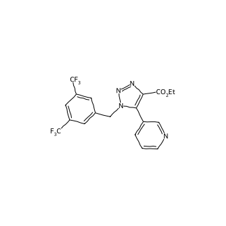 CCOC(=O)c1nnn(Cc2cc(C(F)(F)F)cc(C(F)(F)F)c2)c1-c1cccnc1